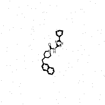 O=C(Nc1nc(-c2ccccc2)ns1)N1CCC(Cc2ccc3ccccc3c2)CC1